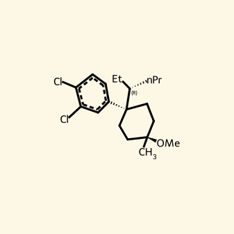 CCC[C@@H](CC)[C@]1(c2ccc(Cl)c(Cl)c2)CC[C@](C)(OC)CC1